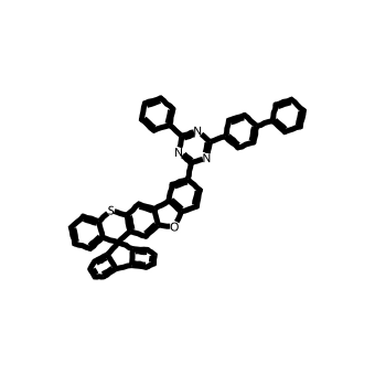 c1ccc(-c2ccc(-c3nc(-c4ccccc4)nc(-c4ccc5oc6cc7c(cc6c5c4)Sc4ccccc4C74c5ccccc5-c5ccccc54)n3)cc2)cc1